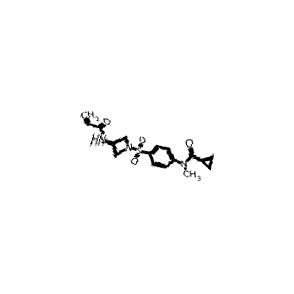 C=CC(=O)NC1CN(S(=O)(=O)c2ccc(N(C)C(=O)C3CC3)cc2)C1